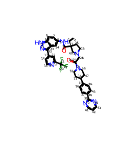 CC[C@@]1(C(=O)Nc2ccc3[nH]nc(-c4ccnc(C(F)(F)F)c4)c3c2)CCN(CC(=O)N2CCC(c3ccc(-c4ncccn4)cc3)CC2)C1